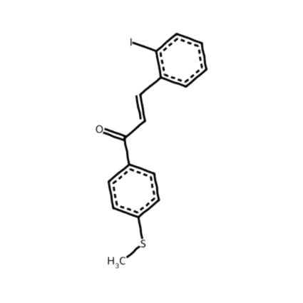 CSc1ccc(C(=O)C=Cc2ccccc2I)cc1